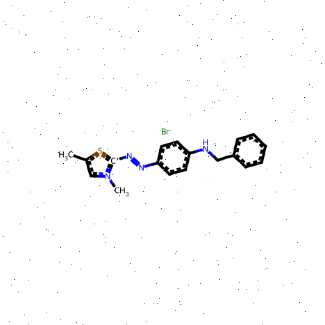 Cc1cn(C)[c+](N=Nc2ccc(NCc3ccccc3)cc2)s1.[Br-]